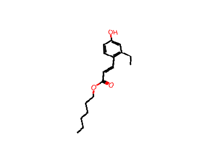 CCCCCCOC(=O)/C=C/c1ccc(O)cc1CC